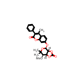 CO[C@@H]1[C@H]2OC(=O)O[C@H]2[C@H](Oc2ccc3c(C)c(-c4ccccc4)c(=O)oc3c2)OC1(C)C